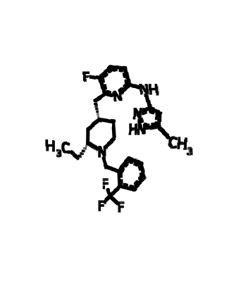 CC[C@@H]1C[C@H](Cc2nc(Nc3cc(C)[nH]n3)ccc2F)CCN1Cc1ccccc1C(F)(F)F